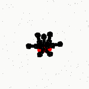 O=C1C(c2ccc(C#Cc3ccccc3)cc2)=C(c2ccc(C#Cc3ccccc3)cc2)C(c2cc(C#Cc3ccccc3)cc(C3=C(c4ccc(C#Cc5ccccc5)cc4)C(=O)C(c4ccc(C#Cc5ccccc5)cc4)=C3c3ccc(C#Cc4ccccc4)cc3)c2)=C1c1ccc(C#Cc2ccccc2)cc1